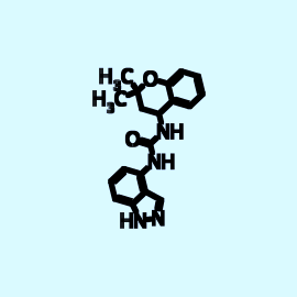 CC1(C)CC(NC(=O)Nc2cccc3[nH]ncc23)c2ccccc2O1